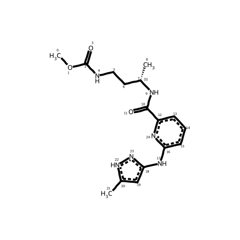 COC(=O)NCC[C@H](C)NC(=O)c1cccc(Nc2cc(C)[nH]n2)n1